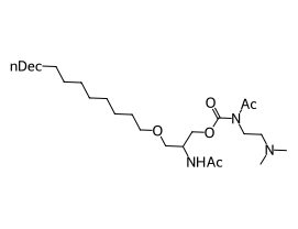 CCCCCCCCCCCCCCCCCCOCC(COC(=O)N(CCN(C)C)C(C)=O)NC(C)=O